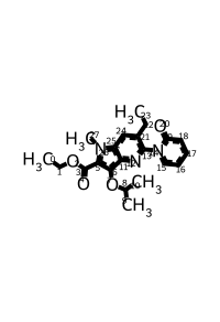 CCOC(=O)c1c(OC(C)C)c2nc(-n3ccccc3=O)c(CC)cc2n1C